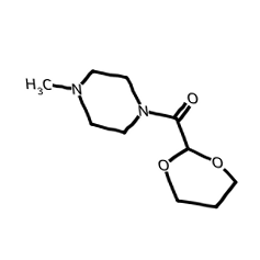 CN1CCN(C(=O)C2OCCCO2)CC1